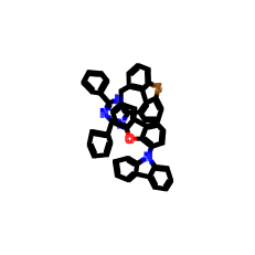 c1ccc(-c2nc(-c3ccccc3)nc(-c3cccc4sc5cccc(Cc6ccc7oc8c(-n9c%10ccccc%10c%10ccccc%109)cccc8c7c6)c5c34)n2)cc1